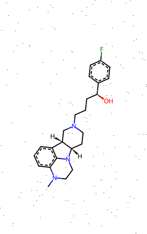 CN1CCN2c3c(cccc31)[C@@H]1CN(CCC[C@H](O)c3ccc(F)cc3)CC[C@@H]12